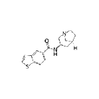 O=C(N[C@@H]1C[C@@H]2CCN(C2)C1)c1ccc2sccc2c1